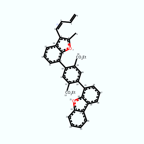 C=C/C=C\c1c(C)oc2c(-c3cc(C(=O)OCC)c(-c4cccc5c4oc4ccccc45)cc3C(=O)OCC)cccc12